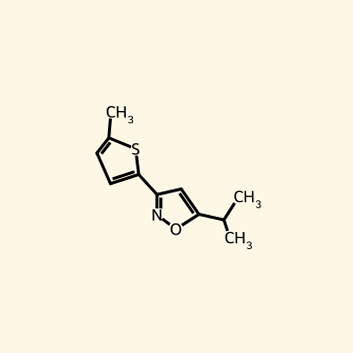 Cc1ccc(-c2cc(C(C)C)on2)s1